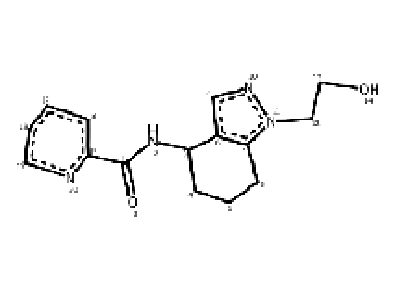 O=C(NC1CCCc2c1cnn2CCO)c1ccccn1